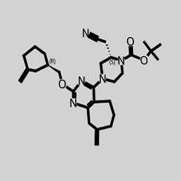 C=C1CCCc2c(nc(OC[C@@H]3CCCC(=C)C3)nc2N2CCN(C(=O)OC(C)(C)C)[C@@H](CC#N)C2)C1